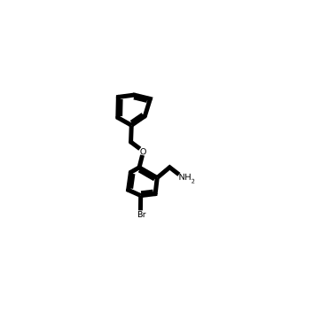 NCc1cc(Br)ccc1OCc1ccccc1